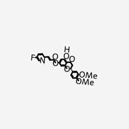 COc1ccc([C@@H]2CC(=O)c3c(O)cc(OC(=O)/C=C/c4ccc(F)cn4)cc3O2)cc1OC